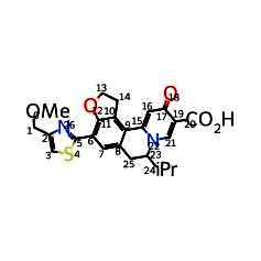 COCc1csc(-c2cc3c(c4c2OCC4)-c2cc(=O)c(C(=O)O)cn2C(C(C)C)C3)n1